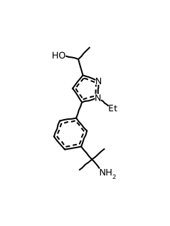 CCn1nc(C(C)O)cc1-c1cccc(C(C)(C)N)c1